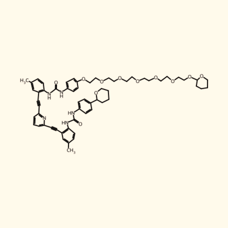 Cc1ccc(NC(=O)Nc2ccc(OCCOCCOCCOCCOCCOCCOC3CCCCO3)cc2)c(C#Cc2cccc(C#Cc3cc(C)ccc3NC(=O)Nc3ccc(C4CCCCO4)cc3)n2)c1